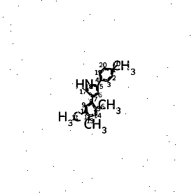 Cc1ccc(-c2cc(-c3cc(C)c(C)cc3C)c[nH]2)cc1